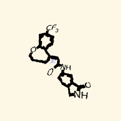 O=C(/C=C1\CCCOc2cc(C(F)(F)F)ccc21)Nc1ccc2c(c1)C(=O)NC2